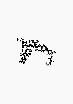 C[n+]1cc(-c2ccc3c(c2)CC[C@@H]([C@@H](O/N=C(\C(=O)N[C@@H]2C(=O)N(OS(=O)(=O)[O-])C2(C)C)c2csc(N)n2)C(=O)O)O3)cn1CCCN